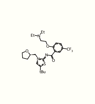 CCN(CC)CCOc1ccc(C(F)(F)F)cc1C(=O)/N=c1\sc(C(C)(C)C)cn1C[C@H]1CCCO1